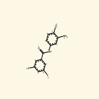 Nc1cc(NC(=O)c2cc(F)cc(F)c2)ccc1Cl